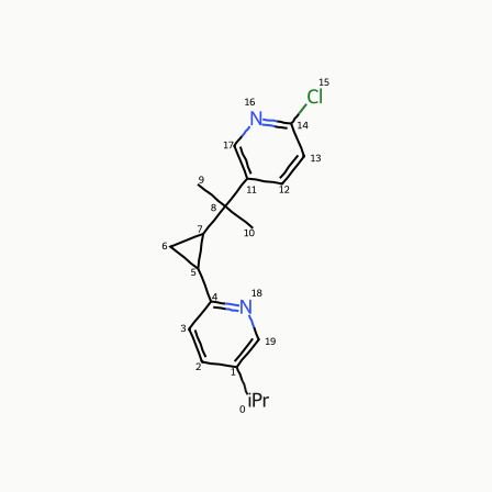 CC(C)c1ccc(C2CC2C(C)(C)c2ccc(Cl)nc2)nc1